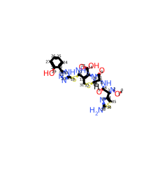 CON=C(C(=O)N[C@@H]1C(=O)N2C(C(=O)O)=C(C(N)Sc3nnc(-c4ccccc4O)[nH]3)CS[C@@H]12)c1csc(N)n1